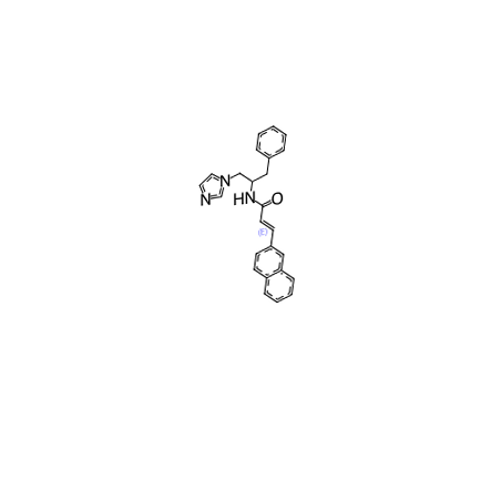 O=C(/C=C/c1ccc2ccccc2c1)NC(Cc1ccccc1)Cn1ccnc1